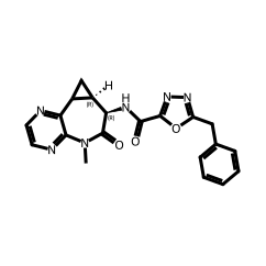 CN1C(=O)[C@H](NC(=O)c2nnc(Cc3ccccc3)o2)[C@@H]2CC2c2nccnc21